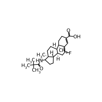 CC(C)(C)C(=O)NC1CC[C@H]2[C@@H]3CC(F)=C4C=C(C(=O)O)CC[C@]4(C)[C@@H]3CC[C@]12C